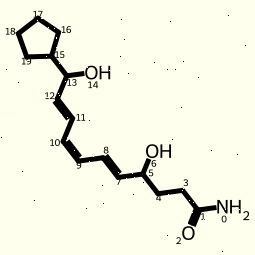 NC(=O)CCC(O)/C=C/C=C\C=C\C(O)C1CCCC1